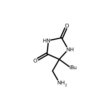 CCC(C)C1(CN)NC(=O)NC1=O